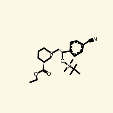 CCOC(=O)[C@H]1CCCN(C[C@@H](O[Si](C)(C)C(C)(C)C)c2ccc(C#N)cc2)C1